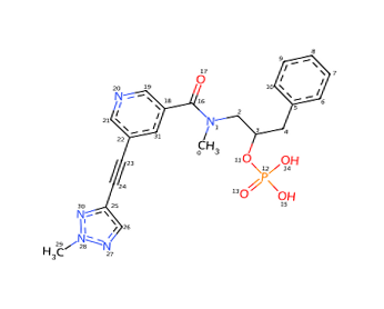 CN(CC(Cc1ccccc1)OP(=O)(O)O)C(=O)c1cncc(C#Cc2cnn(C)n2)c1